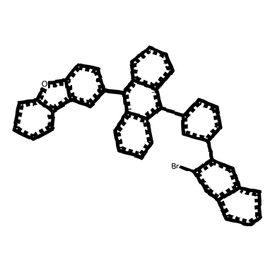 Brc1cc2ccccc2cc1-c1cccc(-c2c3ccccc3c(-c3ccc4oc5ccccc5c4c3)c3ccccc23)c1